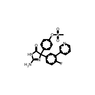 CS(=O)(=O)Oc1ccc(C2(c3ccc(F)c(-c4cccnc4)c3)N=C(N)NC2=O)cc1